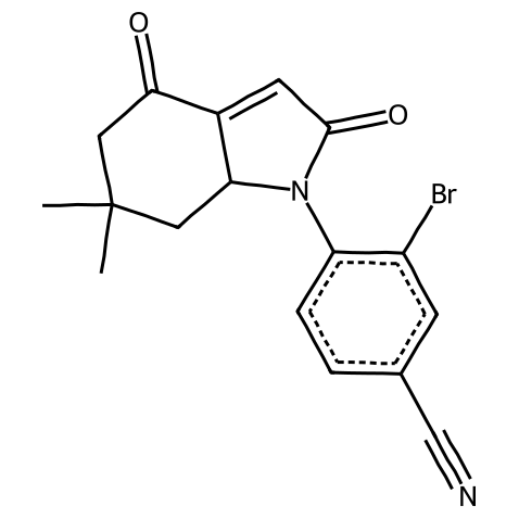 CC1(C)CC(=O)C2=CC(=O)N(c3ccc(C#N)cc3Br)C2C1